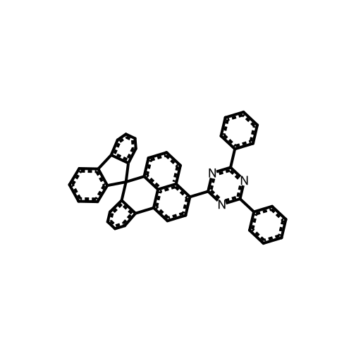 c1ccc(-c2nc(-c3ccccc3)nc(-c3ccc4c5c(cccc35)C3(c5ccccc5-c5ccccc53)c3ccccc3-4)n2)cc1